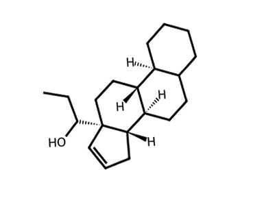 CCC(O)[C@@]12C=CC[C@H]1[C@@H]1CCC3CCCC[C@@H]3[C@H]1CC2